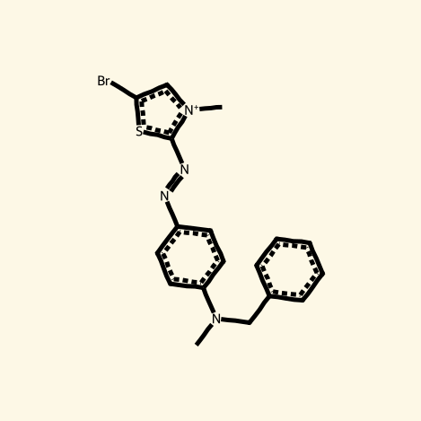 CN(Cc1ccccc1)c1ccc(N=Nc2sc(Br)c[n+]2C)cc1